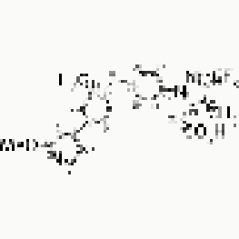 COc1cc(-c2ccc(Cc3ccc(N4N=C(C(F)(F)F)[C@@H](C)[C@@H]4CC(=O)O)cc3)c(C)c2)ccn1